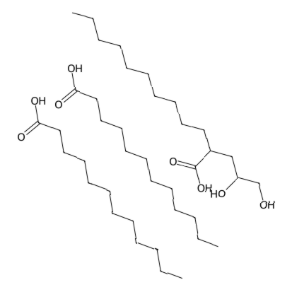 CCCCCCCCCCC(CC(O)CO)C(=O)O.CCCCCCCCCCCC(=O)O.CCCCCCCCCCCC(=O)O